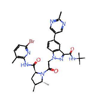 Cc1ncc(-c2ccc3c(c2)c(C(=O)NC(C)(C)C)nn3CC(=O)N2[C@H](C)[C@@H](C)C[C@H]2C(=O)Nc2nc(Br)ccc2C)cn1